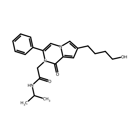 CC(C)NC(=O)Cn1c(-c2ccccc2)cn2cc(CCCCO)cc2c1=O